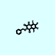 O=c1[nH]c2c(F)c(F)c(F)c(F)c2c(=O)n1OCc1ccccc1